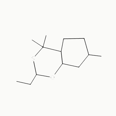 CCC1OC2CC(C)CCC2C(C)(C)S1